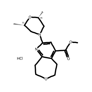 COC(=O)c1cc(N2C[C@@H](C)O[C@@H](C)C2)nc2c1CCOCC2.Cl